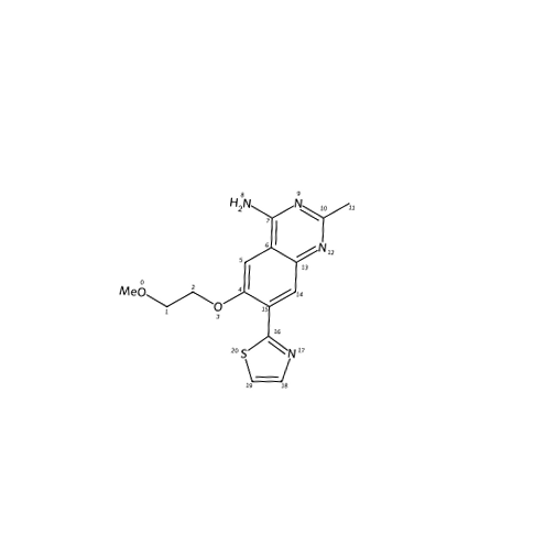 COCCOc1cc2c(N)nc(C)nc2cc1-c1nccs1